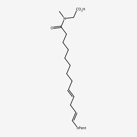 CCCCCC=CCC=CCCCCCCCC(=O)N(C)CC(=O)O